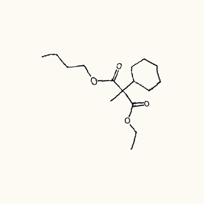 CCCCOC(=O)C(C)(C(=O)OCC)C1CCCCC1